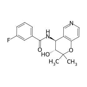 CC1(C)Oc2ccncc2[C@H](NC(=O)c2cccc(F)c2)[C@H]1O